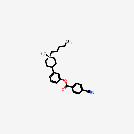 CCCCC[Si]1(C)CCC(c2cccc(OC(=O)c3ccc(C#N)cc3)c2)CC1